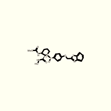 COC(=O)N[C@H]1CCCN([S+]([O-])c2ccc(OCc3nc4ccccc4s3)cc2)[C@H]1C(=O)NO